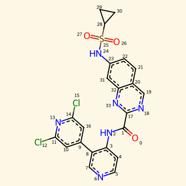 O=C(Nc1ccncc1-c1cc(Cl)nc(Cl)c1)c1ncc2ccc(NS(=O)(=O)C3CC3)cc2n1